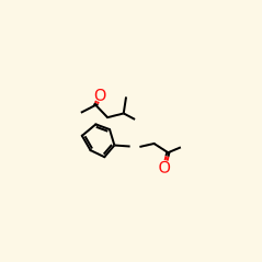 CC(=O)CC(C)C.CCC(C)=O.Cc1ccccc1